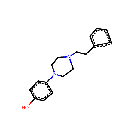 Oc1ccc(N2CCN(CCc3ccccc3)CC2)cc1